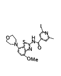 COc1ccc(N2CCOCC2)c2sc(NC(=O)c3cc(C)nc(I)c3)nc12